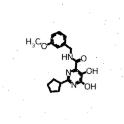 COc1cccc(CNC(=O)c2nc(C3CCCC3)nc(O)c2O)c1